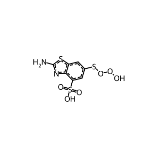 Nc1nc2c(S(=O)(=O)O)cc(SOOO)cc2s1